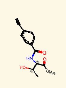 C#Cc1ccc(C(=O)N[C@@H](C(=O)OC)[C@@H](C)O)cc1